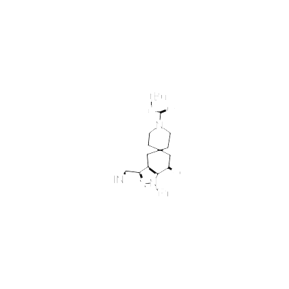 CC(C)n1nc(C=N)c2c1C(=O)CC1(CCN(C(=O)OC(C)(C)C)CC1)C2